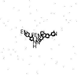 CCN1CCC(c2ccc(Nc3ncc4cc(-c5ccc(-c6ccnc(C)c6)cc5Cl)c(=O)n(CC)c4n3)cc2F)CC1